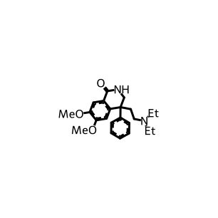 CCN(CC)CCC1(c2ccccc2)CNC(=O)c2cc(OC)c(OC)cc21